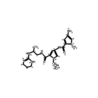 CC(CNC(=O)c1cc(NC(=O)c2cc(N)cn2C)cn1C)NC1=NCCCN1.Cl.Cl